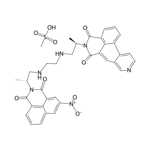 CS(=O)(=O)O.C[C@H](CNCCNC[C@@H](C)N1C(=O)c2cccc3c2c(cc2cnccc23)C1=O)N1C(=O)c2cccc3cc([N+](=O)[O-])cc(c23)C1=O